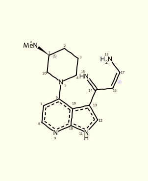 CN[C@H]1CCCN(c2ccnc3[nH]cc(C(=N)/C=C\N)c23)C1